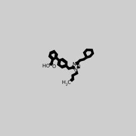 C=CCCn1nc(CCC2CCCCC2)nc1Cc1ccc(-c2ccccc2C(=O)O)cc1